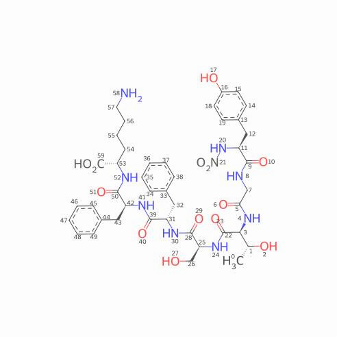 C[C@@H](O)[C@H](NC(=O)CNC(=O)[C@H](Cc1ccc(O)cc1)N[N+](=O)[O-])C(=O)N[C@@H](CO)C(=O)N[C@@H](Cc1ccccc1)C(=O)N[C@@H](Cc1ccccc1)C(=O)N[C@@H](CCCCN)C(=O)O